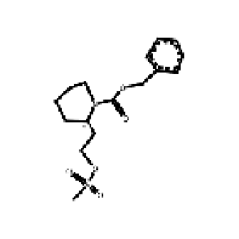 CS(=O)(=O)OCC[C@H]1CCCCN1C(=O)OCc1ccccc1